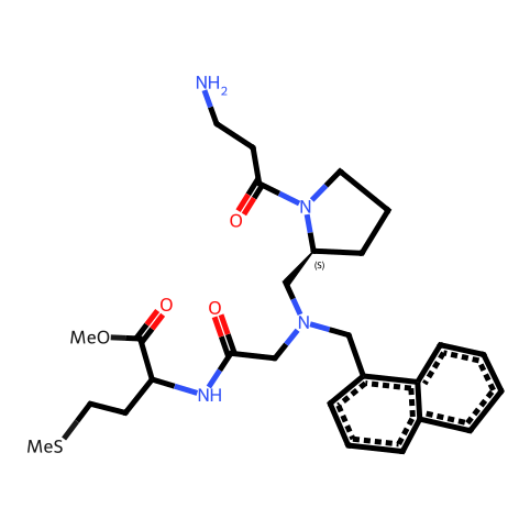 COC(=O)C(CCSC)NC(=O)CN(Cc1cccc2ccccc12)C[C@@H]1CCCN1C(=O)CCN